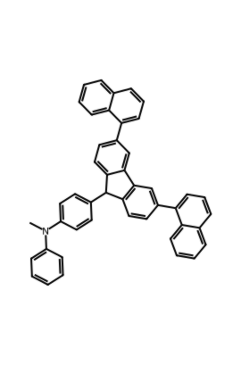 CN(c1ccccc1)c1ccc(C2c3ccc(-c4cccc5ccccc45)cc3-c3cc(-c4cccc5ccccc45)ccc32)cc1